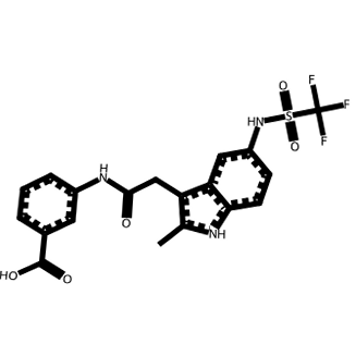 Cc1[nH]c2ccc(NS(=O)(=O)C(F)(F)F)cc2c1CC(=O)Nc1cccc(C(=O)O)c1